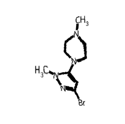 CN1CCN(c2cc(Br)nn2C)CC1